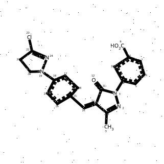 CC1=NN(c2cccc(C(=O)O)c2)C(=O)C1=Cc1ccc(N2CCC(Cl)=N2)cc1